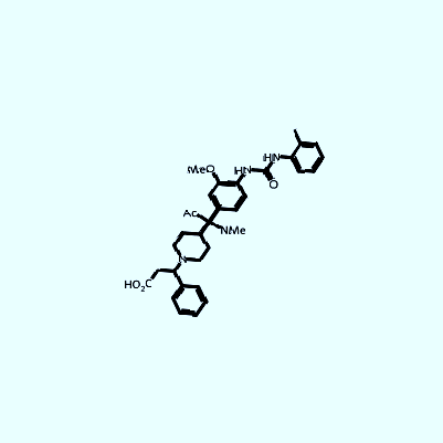 CNC(C(C)=O)(c1ccc(NC(=O)Nc2ccccc2C)c(OC)c1)C1CCN(C(CC(=O)O)c2ccccc2)CC1